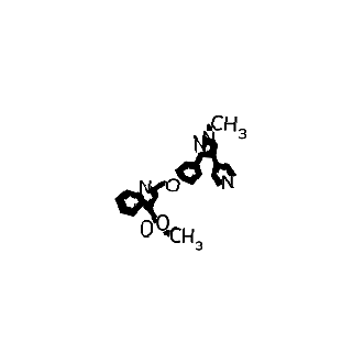 CCOC(=O)c1cc(COc2ccc(-c3nn(CC)cc3-c3ccncc3)cc2)nc2ccccc12